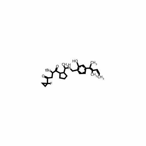 C/C=C\C(C)=C(/C)c1ccc(CNC(C)C2CCCC2C(=O)C(CC(=O)C2(F)CC2)C(C)(C)C)c(O)c1